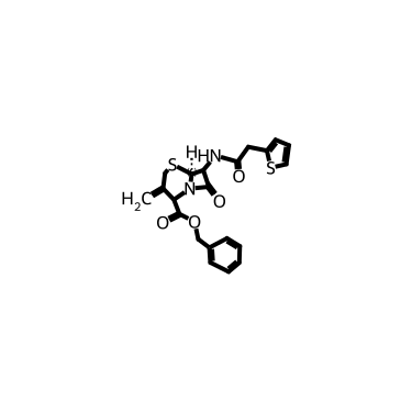 C=C1CS[C@H]2C(NC(=O)Cc3cccs3)C(=O)N2C1C(=O)OCc1ccccc1